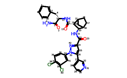 NC(=O)[C@H](Cc1ccccc1)NC(=O)[C@@H]1C2CCC(C2)[C@H]1NC(=O)c1cc(-c2cccnc2)n(-c2ccc(Cl)c(Cl)c2)n1